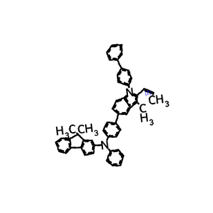 C/C=C\c1c(C)c2cc(-c3ccc(N(c4ccccc4)c4ccc5c(c4)C(C)(C)c4ccccc4-5)cc3)ccc2n1-c1ccc(-c2ccccc2)cc1